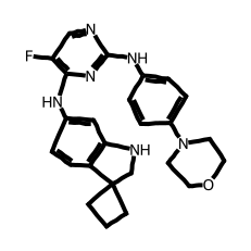 Fc1cnc(Nc2ccc(N3CCOCC3)cc2)nc1Nc1ccc2c(c1)NCC21CCC1